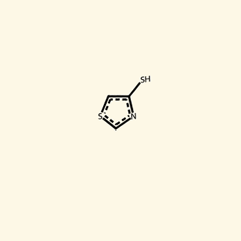 Sc1cs[c]n1